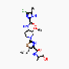 CCO[C@@H]1CN(c2nc(C(=O)NC(C)CO)c(C(=O)O)s2)CC[C@@H]1NC(=O)c1nc(Cl)c(CC)[nH]1